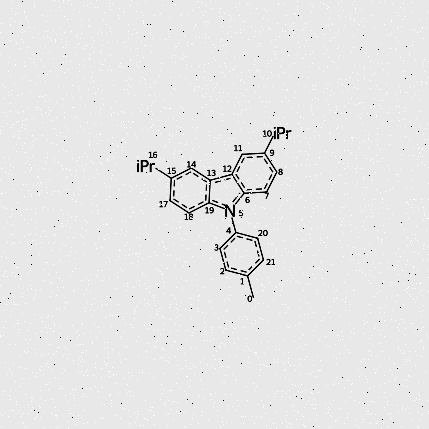 Cc1ccc(-n2c3ccc(C(C)C)cc3c3cc(C(C)C)ccc32)cc1